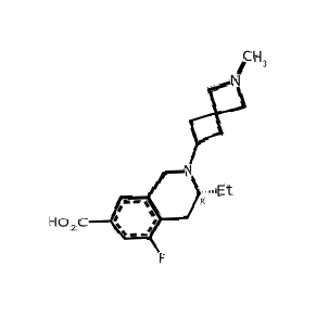 CC[C@@H]1Cc2c(F)cc(C(=O)O)cc2CN1C1CC2(C1)CN(C)C2